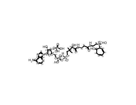 CC(C)(COP(=O)(O)OP(=O)(O)OC[C@H]1O[C@@H](n2cnc3c(N)ncnc32)[C@H](O)[C@@H]1OP(=O)(O)O)C(O)C(=O)NCCC(=O)NCC[SH](C=O)C1C=CC=CCC1O